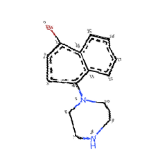 Brc1ccc(N2CCNCC2)c2ccccc12